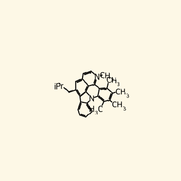 Cc1c(C)c(C)c2c(c1C)c1c3c(cc[n+]1C)cc(CC(C)C)c1c4ccccc4n2c13